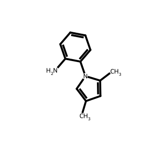 Cc1cc(C)n(-c2ccccc2N)c1